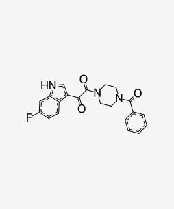 O=C(C(=O)N1CCN(C(=O)c2ccccc2)CC1)c1c[nH]c2cc(F)ccc12